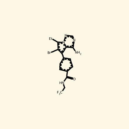 CCc1c(Br)c(-c2ccc(C(=O)NCC(F)(F)F)cc2)c2c(N)ncnn12